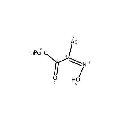 CCCCCC(=O)/C(=N\O)C(C)=O